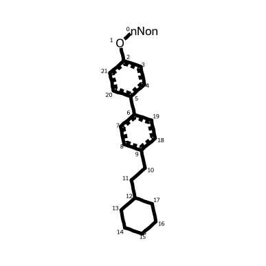 CCCCCCCCCOc1ccc(-c2ccc(CCC3CC[CH]CC3)cc2)cc1